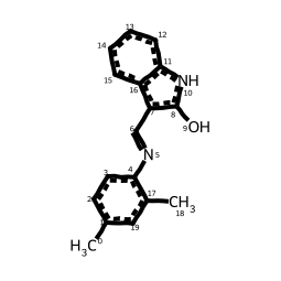 Cc1ccc(N=Cc2c(O)[nH]c3ccccc23)c(C)c1